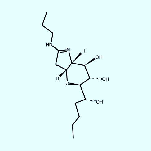 CCCC[C@@H](O)[C@H]1O[C@@H]2SC(NCCC)=N[C@@H]2[C@@H](O)[C@@H]1O